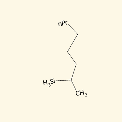 CCCCCCC(C)[SiH3]